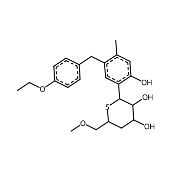 CCOc1ccc(Cc2cc(C3SC(COC)CC(O)C3O)c(O)cc2C)cc1